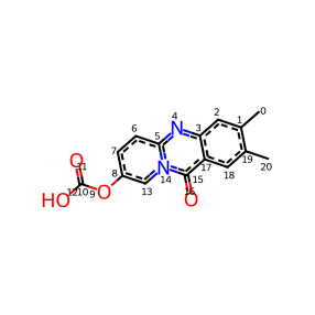 Cc1cc2nc3ccc(OC(=O)O)cn3c(=O)c2cc1C